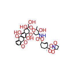 COc1cccc2c1C(=O)c1c(O)c3c(c(O)c1C2=O)C[C@@](O)(C(=O)CO)C[C@@H]3O[C@H]1CC(NC(=O)O[C@H]2/C=C/C[C@@](C)(C(=O)ON3C(=O)CCC3=O)CCC2)[C@H](O)C(C)O1